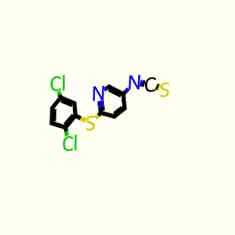 S=C=Nc1ccc(Sc2cc(Cl)ccc2Cl)nc1